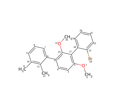 COc1ccc(-c2cccc(C)c2C)c(OC)c1-c1ccccc1Br